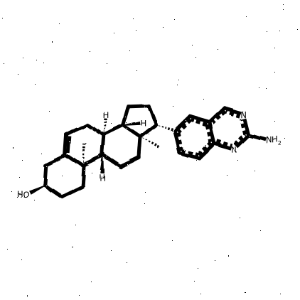 C[C@]12CC[C@H]3[C@@H](CC=C4C[C@H](O)CC[C@@]43C)[C@@H]1CC[C@@H]2c1ccc2nc(N)ncc2c1